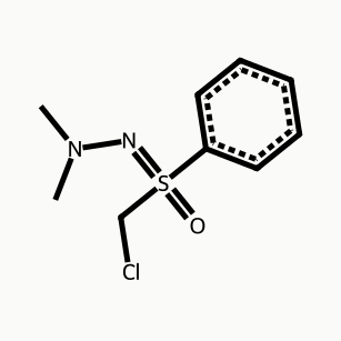 CN(C)N=S(=O)(CCl)c1ccccc1